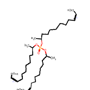 CCCCCCCC/C=C\CCCCCCCC(C)OP(=O)(OC(C)CCCCCCC/C=C\CCCCCCCC)OC(C)CCCCCCC/C=C\CCCCCCCC